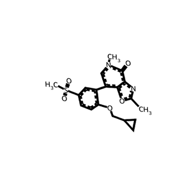 Cc1nc2c(=O)n(C)cc(-c3cc(S(C)(=O)=O)ccc3OCC3CC3)c2o1